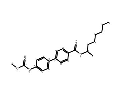 CCCCCCC(C)OC(=O)c1ccc(-c2ccc(OC(=O)OC)cc2)cc1